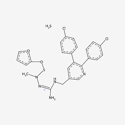 CN(/N=C(/N)NCc1cnc(-c2ccc(Cl)cc2)c(-c2ccc(Cl)cc2)c1)SOc1ccco1.S